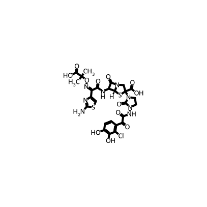 CC(C)(O/N=C(\C(=O)NC1C(=O)N2CC(C(=O)O)(N3CCN(NC(=O)C(=O)c4ccc(O)c(O)c4Cl)C3=O)S[C@H]12)c1csc(N)n1)C(=O)O